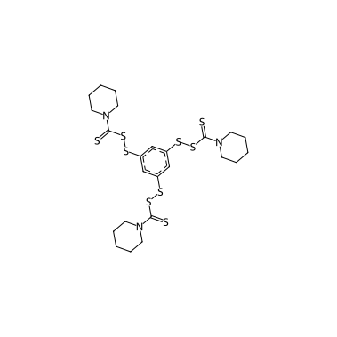 S=C(SSc1cc(SSC(=S)N2CCCCC2)cc(SSC(=S)N2CCCCC2)c1)N1CCCCC1